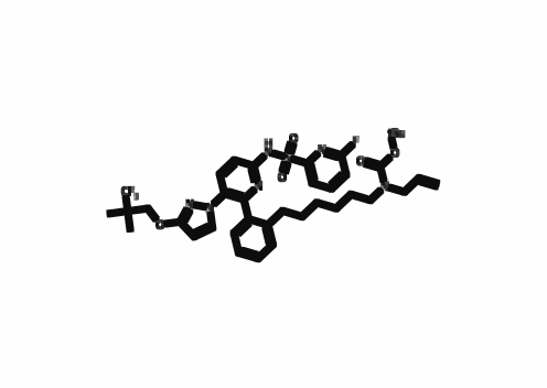 C=CCN(CCCCCCc1ccccc1-c1nc(NS(=O)(=O)c2cccc(F)n2)ccc1-n1ccc(OCC(C)(C)C(F)(F)F)n1)C(=O)OC(C)(C)C